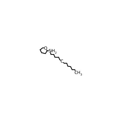 CCCCCCCCCCCCC[SiH2]C1CCCCO1